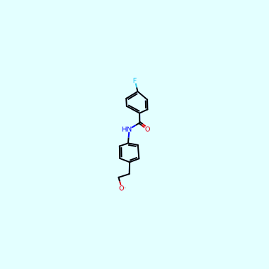 [O]CCc1ccc(NC(=O)c2ccc(F)cc2)cc1